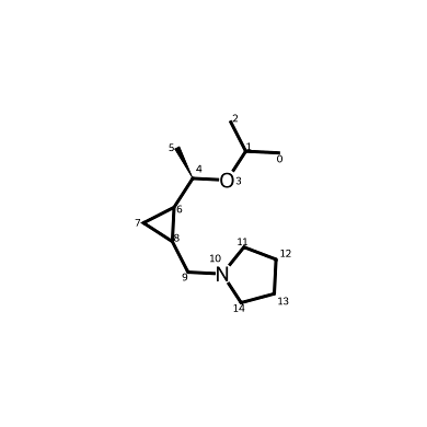 CC(C)O[C@H](C)C1CC1CN1CCCC1